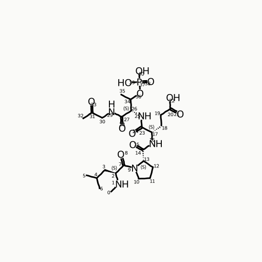 CN[C@@H](CC(C)C)C(=O)N1CCC[C@H]1C(=O)N[C@@H](CCC(=O)O)C(=O)N[C@H](C(=O)NCC(C)=O)C(C)OP(=O)(O)O